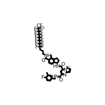 Cc1cc(CNC(=O)c2cc(C(=O)N[C@H]3CCc4c3ccc(C(=O)NCCCC(F)(F)C(F)(F)C(F)(F)C(F)(F)C(F)(F)C(F)(F)C(F)(F)C(F)(F)F)c4C)n3nccc3n2)ccc1F